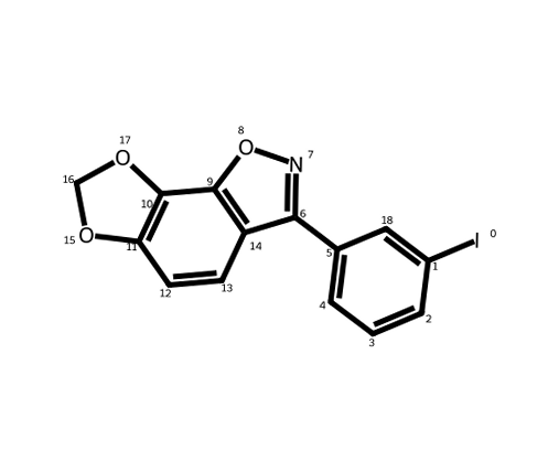 Ic1cccc(-c2noc3c4c(ccc23)OCO4)c1